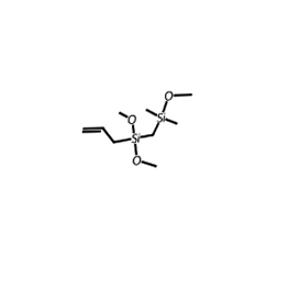 C=CC[Si](C[Si](C)(C)OC)(OC)OC